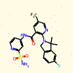 CC1(C)c2cc(F)ccc2CN1c1ncc(C(F)(F)F)cc1C(=O)Nc1ccnc(S(N)(=O)=O)c1